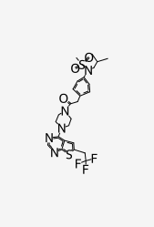 CC(C)CN(c1ccc(CC(=O)N2CCN(c3ncnc4sc(CC(F)(F)F)cc34)CC2)cc1)S(C)(=O)=O